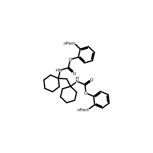 CCCCCc1ccccc1OC(=O)NC1(CC2(NC(=O)Oc3ccccc3CCCCC)CCCCC2)CCCCC1